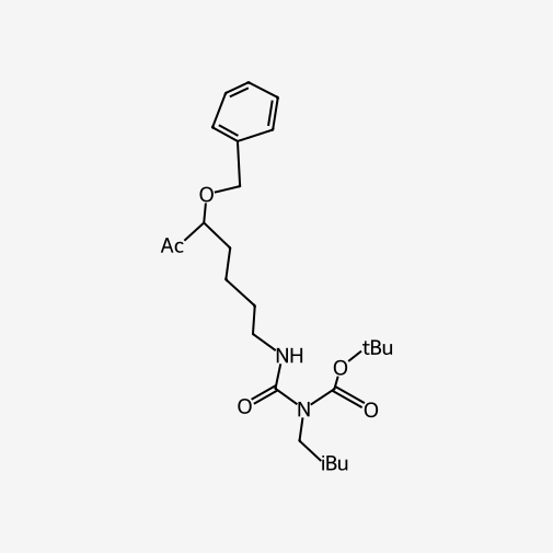 CCC(C)CN(C(=O)NCCCCC(OCc1ccccc1)C(C)=O)C(=O)OC(C)(C)C